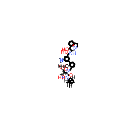 C=C1[C@H]2C[C@H](NC(=O)[C@@H]3[C@H]([C@H](C)O)[C@H](CO)ON3Cc3cccc(-c4cc(C(O)N[C@H](CN5CCCC5)[C@H](O)c5ccccc5)cc(N(C)C)c4)c3OC)[C@@H](C)[C@@H]1C2